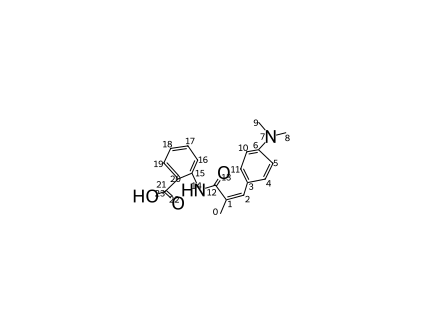 CC(=Cc1ccc(N(C)C)cc1)C(=O)Nc1ccccc1C(=O)O